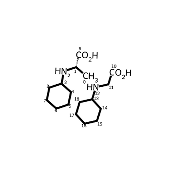 C[C@H](NC1CCCCC1)C(=O)O.O=C(O)CNC1CCCCC1